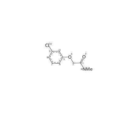 CNC(=O)COc1cccc(Cl)c1